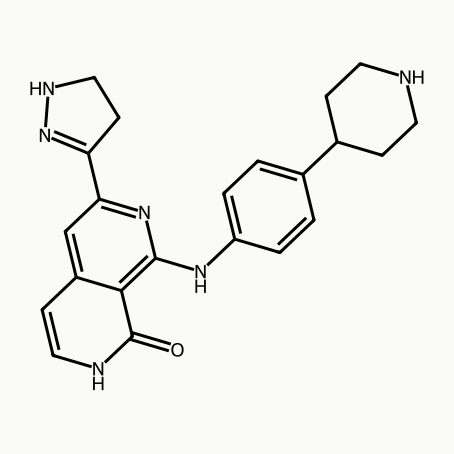 O=c1[nH]ccc2cc(C3=NNCC3)nc(Nc3ccc(C4CCNCC4)cc3)c12